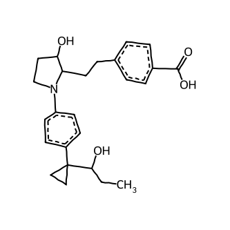 CCC(O)C1(c2ccc(N3CCC(O)C3CCc3ccc(C(=O)O)cc3)cc2)CC1